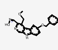 COCc1c(/C=N\O)ncc2[nH]c3ccc(OCc4ccccc4)cc3c12